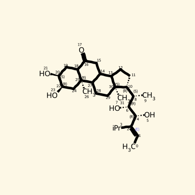 C/C=C(\C(C)C)[C@@H](O)[C@H](O)[C@@H](C)[C@H]1CCC2C3CC(=O)C4C[C@H](O)[C@H](O)C[C@]4(C)C3CC[C@@]21C